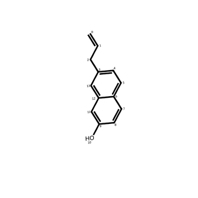 C=CCc1ccc2ccc(O)[c]c2c1